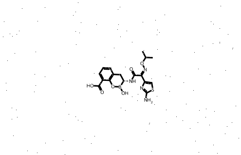 CC(C)O/N=C(\C(=O)N[C@H]1Cc2cccc(C(=O)O)c2OB1O)c1csc(N)n1